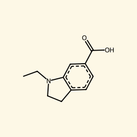 CCN1CCc2ccc(C(=O)O)cc21